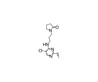 CSc1ncc(Cl)c(NCCCN2CCCC2=O)n1